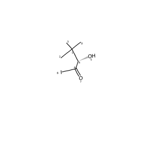 CC(C)(C)[C@H](O)C(=O)I